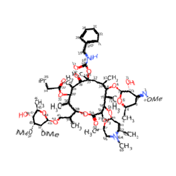 CON=C1C[C@@H](C)O[C@@H](OC2C(C)CC(C)(OC(=O)NCc3ccccc3)C(=O)C(C)C(OC(=O)CC(C)C)C(C)C(C(C)CO[C@@H]3O[C@H](C)[C@@H](O)[C@@H](OC)[C@H]3OC)OC(=O)C(C)C(O[C@H]3C[C@@H](C)N(C)C[C@H](C)O3)C2C)[C@@H]1O